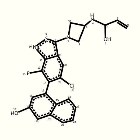 C=CC(O)NC1CN(c2snc3c(F)c(-c4cc(O)cc5ccccc45)c(Cl)cc23)C1